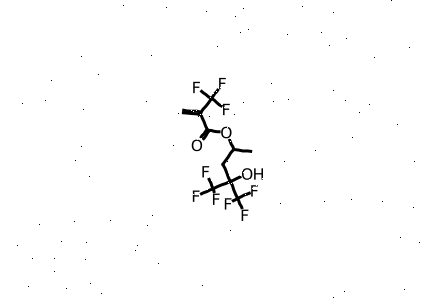 C=C(C(=O)OC(C)CC(O)(C(F)(F)F)C(F)(F)F)C(F)(F)F